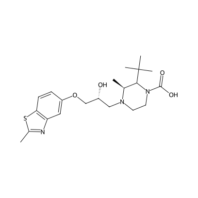 Cc1nc2cc(OC[C@H](O)CN3CCN(C(=O)O)C(C(C)(C)C)[C@@H]3C)ccc2s1